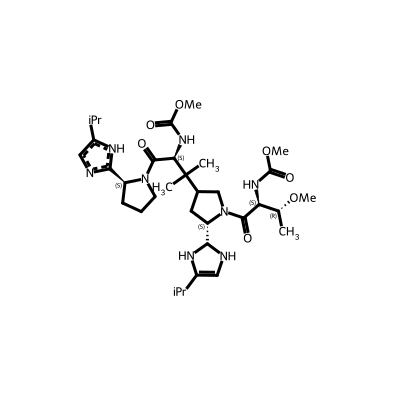 COC(=O)N[C@H](C(=O)N1CC(C(C)(C)[C@H](NC(=O)OC)C(=O)N2CCC[C@H]2c2ncc(C(C)C)[nH]2)C[C@H]1C1NC=C(C(C)C)N1)[C@@H](C)OC